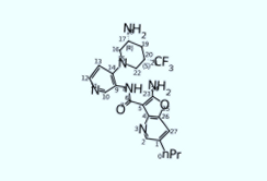 CCCc1cnc2c(C(=O)Nc3cnccc3N3C[C@H](N)C[C@H](C(F)(F)F)C3)c(N)oc2c1